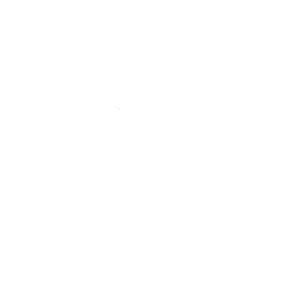 Cc1ccc(OCCCCN2CCOCC2)cc1